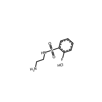 Cl.NCCNS(=O)(=O)c1ccccc1F